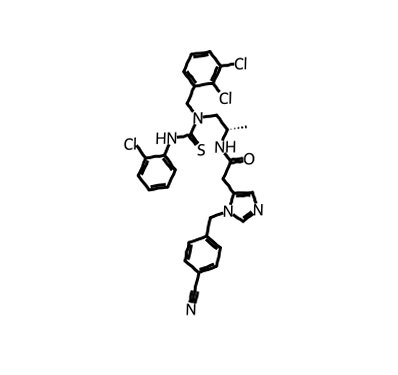 C[C@@H](CN(Cc1cccc(Cl)c1Cl)C(=S)Nc1ccccc1Cl)NC(=O)Cc1cncn1Cc1ccc(C#N)cc1